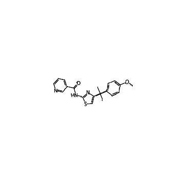 COc1ccc(C(C)(C)c2csc(NC(=O)c3cccnc3)n2)cc1